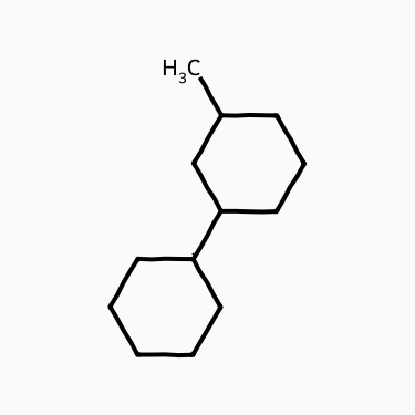 CC1CCCC([C]2CCCCC2)C1